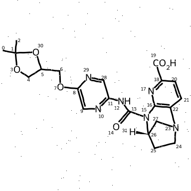 CC1(C)OCC(COc2cnc(NC(=O)N3c4nc(C(=O)O)ccc4N4CC[C@H]3C4)cn2)O1